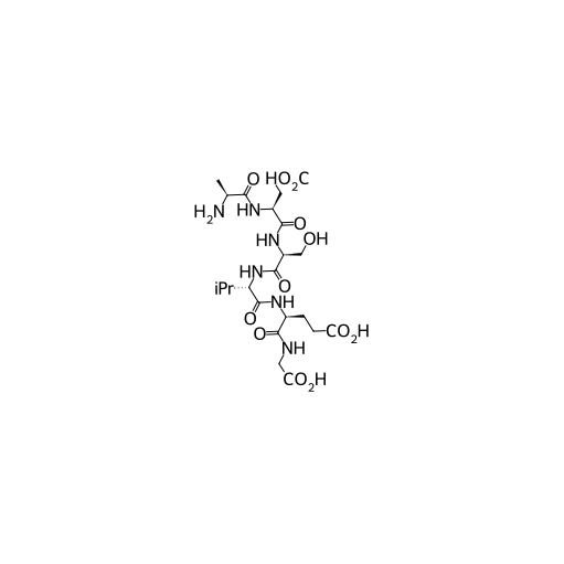 CC(C)[C@H](NC(=O)[C@H](CO)NC(=O)[C@H](CC(=O)O)NC(=O)[C@H](C)N)C(=O)N[C@@H](CCC(=O)O)C(=O)NCC(=O)O